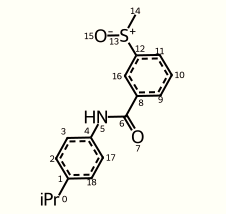 CC(C)c1ccc(NC(=O)c2cccc([S+](C)[O-])c2)cc1